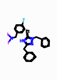 Fc1ccc(CN(I)I)cc1.[Pt]=[c]1[nH]c(Cc2ccccc2)nn1Cc1ccccc1